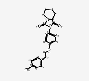 O=C1C2CCCCN2C(=O)N1c1ccc(OCCc2ccc(Cl)cc2)cn1